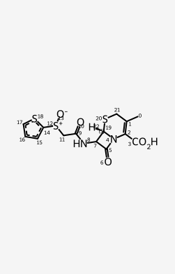 CC1=C(C(=O)O)N2C(=O)C(NC(=O)C[S+]([O-])c3cccs3)[C@@H]2SC1